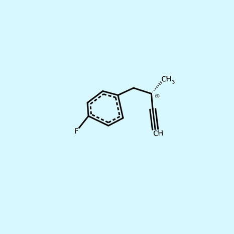 C#C[C@@H](C)Cc1ccc(F)cc1